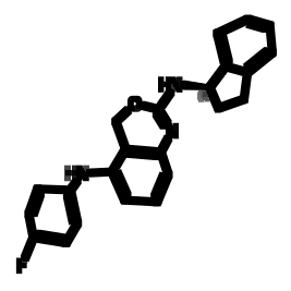 Fc1ccc(Nc2cccc3c2COC(N[C@@H]2CCc4ccccc42)=N3)cc1